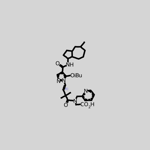 CC(C)COc1c(C(=O)NC2CCC3CC(C)CCCC32)cnn1/C=C/C(C)(C)C(=O)N(CC(=O)O)Cc1ccccn1